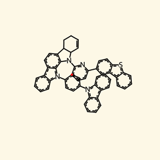 C1=CC2C(CC1)c1ccc3c4ccccc4n(-c4ccc(-n5c6ccccc6c6ccccc65)cc4)c3c1N2c1cccc(-c2ccc3sc4ccccc4c3c2)n1